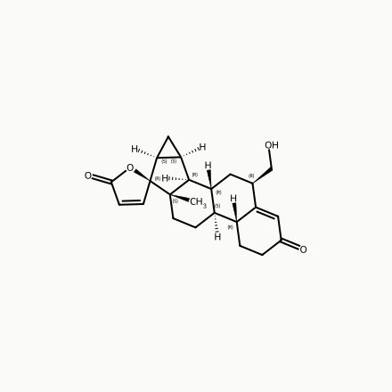 C[C@]12CC[C@H]3[C@@H](C[C@@H](CO)C4=CC(=O)CC[C@@H]43)[C@@H]1[C@@H]1C[C@@H]1[C@@]21C=CC(=O)O1